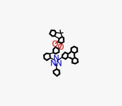 CC1(C)c2ccccc2-c2c1ccc1c2Oc2cc(-c3ccccc3-c3nc(-c4ccccc4)nc(-c4ccc5c6ccccc6c6ccccc6c5c4)n3)ccc2O1